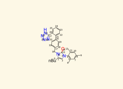 CCCCc1cn(-c2c(C)cc(C)cc2C)c(=O)n1Cc1ccc(-c2ccccc2-c2nnn[nH]2)cc1